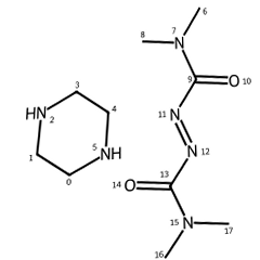 C1CNCCN1.CN(C)C(=O)N=NC(=O)N(C)C